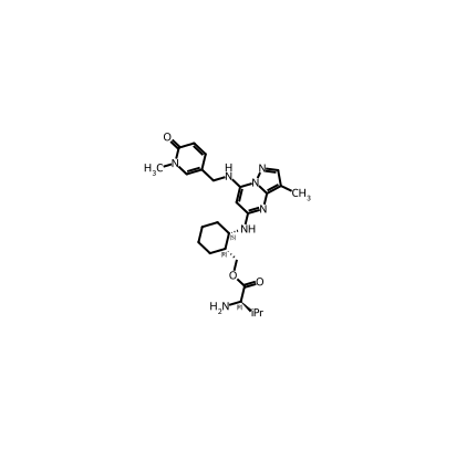 Cc1cnn2c(NCc3ccc(=O)n(C)c3)cc(N[C@H]3CCCC[C@H]3COC(=O)[C@H](N)C(C)C)nc12